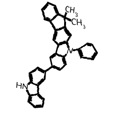 CC1(C)c2ccccc2-c2cc3c4cc(-c5ccc6[nH]c7ccccc7c6c5)ccc4n(-c4ccccc4)c3cc21